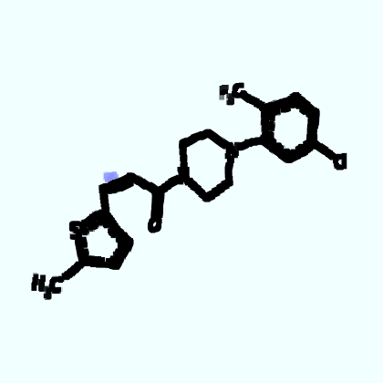 Cc1ccc(/C=C\C(=O)N2CCN(c3cc(Cl)ccc3C(F)(F)F)CC2)s1